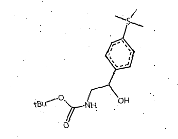 CC(C)(C)OC(=O)NCC(O)c1ccc(S(C)(C)C)cc1